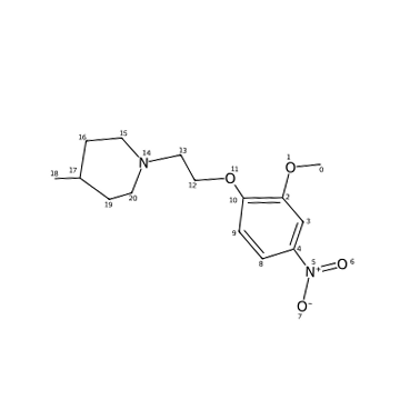 COc1cc([N+](=O)[O-])ccc1OCCN1CCC(C)CC1